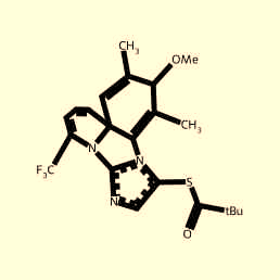 COC1C(C)=CC23C=CC=C(C(F)(F)F)N2c2ncc(SC(=O)C(C)(C)C)n2C3=C1C